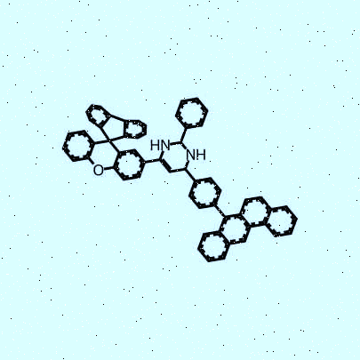 C1=C(c2ccc3c(c2)C2(c4ccccc4O3)c3ccccc3-c3ccccc32)NC(c2ccccc2)NC1c1ccc(-c2c3ccccc3cc3c2ccc2ccccc23)cc1